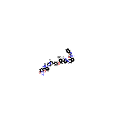 Cc1c(OC2CCC(CC[C@@H](C)N3CCN(c4cccc5c(C6CCC(=O)NC6=O)nn(C)c45)CC3)CC2)cccc1-c1ccc(N2CCc3cccc(C(=O)Nc4nc5ccccc5s4)c3C2)nc1C(=O)O